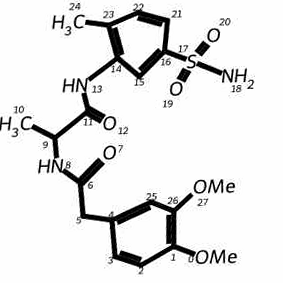 COc1ccc(CC(=O)NC(C)C(=O)Nc2cc(S(N)(=O)=O)ccc2C)cc1OC